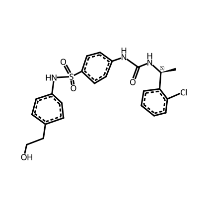 C[C@H](NC(=O)Nc1ccc(S(=O)(=O)Nc2ccc(CCO)cc2)cc1)c1ccccc1Cl